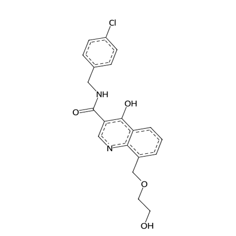 O=C(NCc1ccc(Cl)cc1)c1cnc2c(COCCO)cccc2c1O